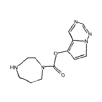 O=C(Oc1ccn2ncncc12)N1CCCNCC1